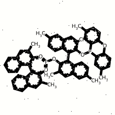 Cc1ccc2c(c1)P(Oc1c(C)cc3cc(C)ccc3c1-c1c(Op3oc4c(C)cc5ccccc5c4c4c(o3)c(C)cc3ccccc34)c(C)cc3cc(C)ccc13)c1cc(C)ccc1O2